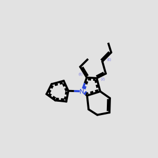 C/C=C/C=c1/c2c(n(-c3ccccc3)/c1=C/C)CCC=C2